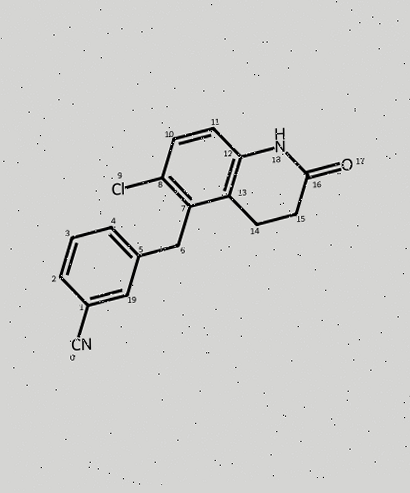 N#Cc1cccc(Cc2c(Cl)ccc3c2CCC(=O)N3)c1